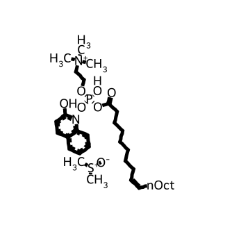 CCCCCCCC/C=C\CCCCCCCC(=O)OP(=O)(O)OCC[N+](C)(C)C.C[S+](C)[O-].Oc1ccc2ccccc2n1